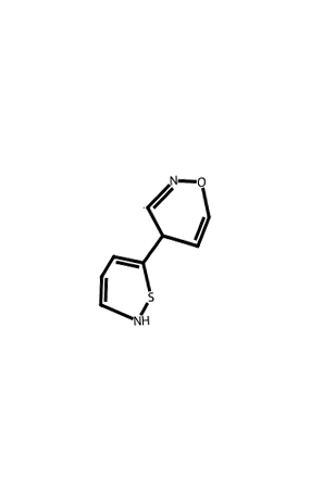 [C]1=NOC=CC1C1=CC=CNS1